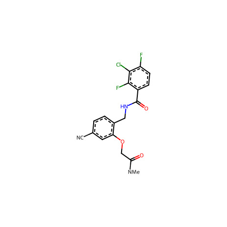 CNC(=O)COc1cc(C#N)ccc1CNC(=O)c1ccc(F)c(Cl)c1F